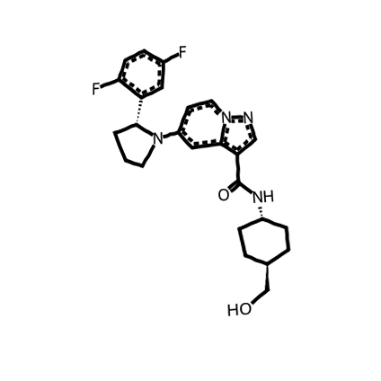 O=C(N[C@H]1CC[C@H](CO)CC1)c1cnn2ccc(N3CCC[C@@H]3c3cc(F)ccc3F)cc12